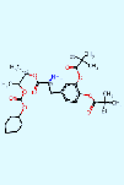 CCC(C)(C)C(=O)Oc1ccc(C[C@H](N)C(=O)O[C@@H](C)C(C)OC(=O)OC2CCCCC2)cc1OC(=O)C(C)(C)CC